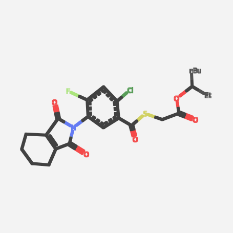 CCCCC(CC)OC(=O)CSC(=O)c1cc(N2C(=O)C3=C(CCCC3)C2=O)c(F)cc1Cl